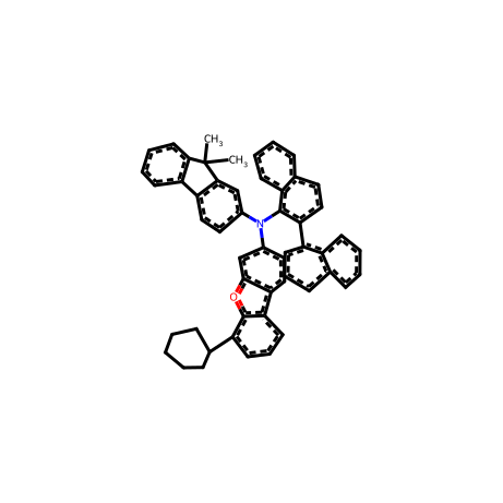 CC1(C)c2ccccc2-c2ccc(N(c3ccc4c(c3)oc3c(C5CCCCC5)cccc34)c3c(-c4cccc5ccccc45)ccc4ccccc34)cc21